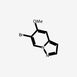 COc1cc2ccnn2cc1Br